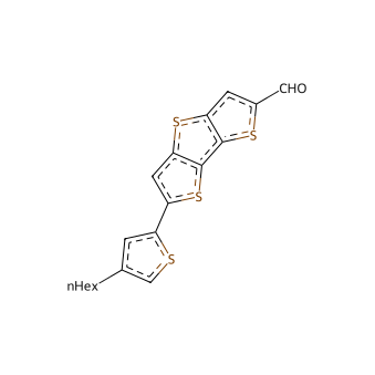 CCCCCCc1csc(-c2cc3sc4cc(C=O)sc4c3s2)c1